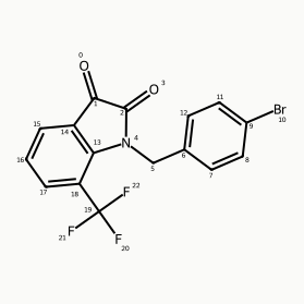 O=C1C(=O)N(Cc2ccc(Br)cc2)c2c1cccc2C(F)(F)F